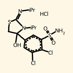 CC(C)N=C1SCC(O)(c2cc(Cl)c(Cl)c(S(N)(=O)=O)c2)N1C(C)C.Cl